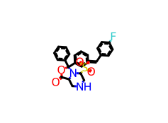 O=C1OC(c2ccccc2)(c2ccccc2)N2C1CNCC2S(=O)(=O)C=Cc1ccc(F)cc1